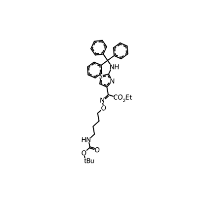 CCOC(=O)/C(=N\OCCCCNC(=O)OC(C)(C)C)c1csc(NC(c2ccccc2)(c2ccccc2)c2ccccc2)n1